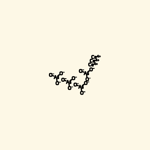 [Ce+4].[Ce+4].[Ce+4].[O-][As]([O-])[O-].[O-][As]([O-])[O-].[O-][As]([O-])[O-].[O-][As]([O-])[O-]